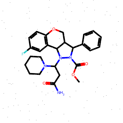 COC(=O)N1C(c2ccccc2)C2COc3ccc(F)cc3C2N1C(CC(N)=O)N1CCCCC1